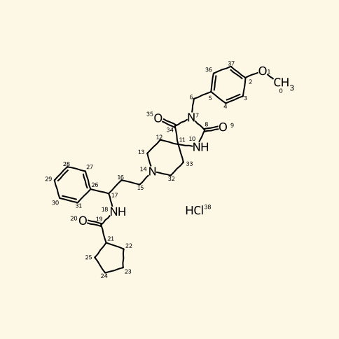 COc1ccc(CN2C(=O)NC3(CCN(CCC(NC(=O)C4CCCC4)c4ccccc4)CC3)C2=O)cc1.Cl